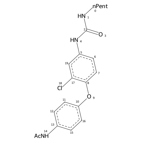 CCCCCNC(=O)Nc1ccc(Oc2ccc(NC(C)=O)cc2)c(Cl)c1